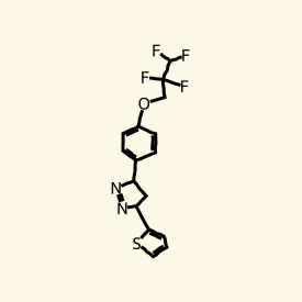 FC(F)C(F)(F)COc1ccc(C2CC(c3cccs3)N=N2)cc1